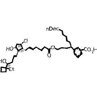 CCCCCCCCCCCCCCCC(CCCOC(=O)CCCC=CC[C@@H]1[C@@H](C=CC[C@H](O)C2(CC)CCC2)[C@H](O)C[C@H]1Cl)c1cccc(C(=O)O)c1